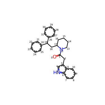 O=C(Cc1c[nH]c2ccccc12)N1CCCCC1CC(c1ccccc1)c1ccccc1